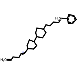 C=CCC/C=C/C1CCC(C2CCC(CCCC[SiH2]c3ccccc3)CC2)CC1